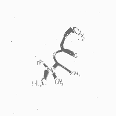 C=CC(=O)OC(C)[N+](C)(C)CCC